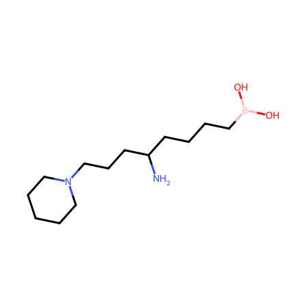 NC(CCCCB(O)O)CCCN1CCCCC1